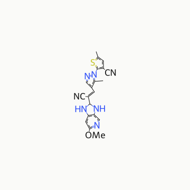 COc1cc2c(cn1)NC(/C(C#N)=C/c1cnn(-c3sc(C)cc3C#N)c1C)N2